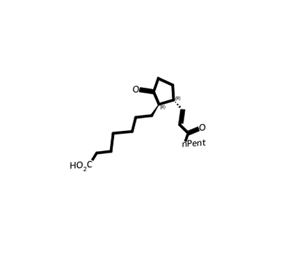 CCCCCC(=O)C=C[C@H]1CCC(=O)[C@@H]1CCCCCCC(=O)O